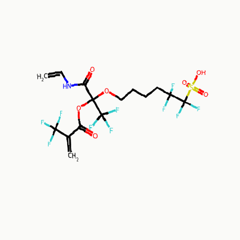 C=CNC(=O)C(OCCCCC(F)(F)C(F)(F)S(=O)(=O)O)(OC(=O)C(=C)C(F)(F)F)C(F)(F)F